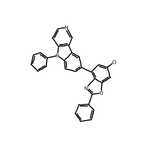 Clc1cc(-c2ccc3c(c2)c2cnccc2n3-c2ccccc2)c2nc(-c3ccccc3)oc2c1